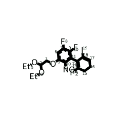 CCOC(COc1cc(F)c(F)c(C2=C(F)[CH]CC=C2I)c1[N+](=O)[O-])OCC